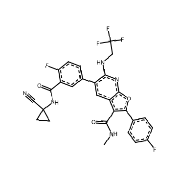 CNC(=O)c1c(-c2ccc(F)cc2)oc2nc(NCC(F)(F)F)c(-c3ccc(F)c(C(=O)NC4(C#N)CC4)c3)cc12